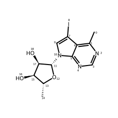 Cc1ncnc2c1c(I)cn2[C@@H]1O[C@H](C)[C@@H](O)[C@H]1O